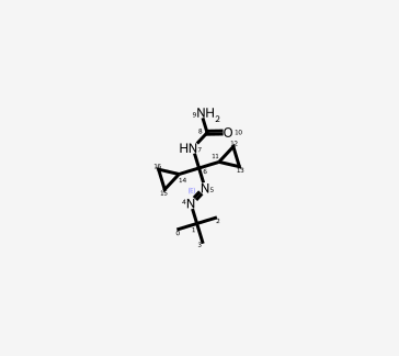 CC(C)(C)/N=N/C(NC(N)=O)(C1CC1)C1CC1